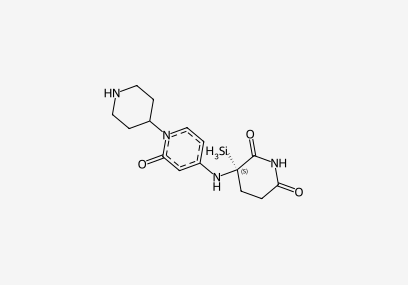 O=C1CC[C@@]([SiH3])(Nc2ccn(C3CCNCC3)c(=O)c2)C(=O)N1